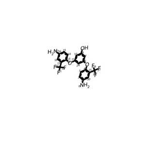 Nc1ccc(Oc2cc(O)cc(Oc3ccc(N)cc3C(F)(F)F)c2)c(C(F)(F)F)c1